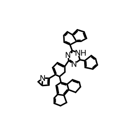 C1=Cc2cc(C3CC(C4=NC(c5ccccc5)NC(c5cccc6ccccc56)=N4)=CC=C3C3=CC4CN34)c3c(c2CC1)CCC=C3